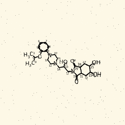 CC(C)Oc1ccccc1N1CCN(CC(O)CN2C(=O)C3CC(O)C(O)CC3C2=O)CC1